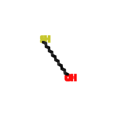 OCCCCCCCCCCCCCCCCS